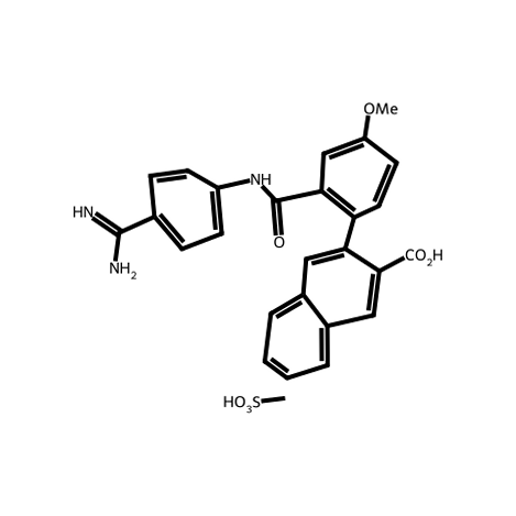 COc1ccc(-c2cc3ccccc3cc2C(=O)O)c(C(=O)Nc2ccc(C(=N)N)cc2)c1.CS(=O)(=O)O